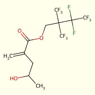 C=C(CC(C)O)C(=O)OCC(C(F)(F)F)(C(F)(F)F)C(F)(F)C(F)(F)F